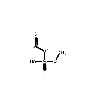 CO[As](=O)(O)OC=S